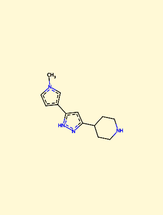 Cn1ccc(-c2cc(C3CCNCC3)n[nH]2)c1